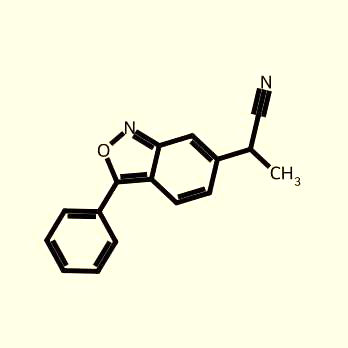 CC(C#N)c1ccc2c(-c3ccccc3)onc2c1